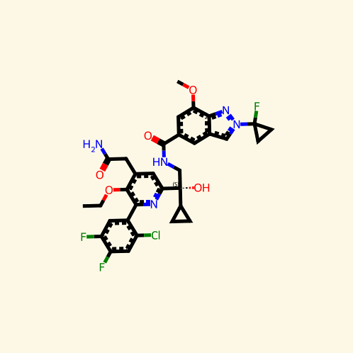 CCOc1c(CC(N)=O)cc([C@@](O)(CNC(=O)c2cc(OC)c3nn(C4(F)CC4)cc3c2)C2CC2)nc1-c1cc(F)c(F)cc1Cl